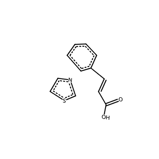 O=C(O)C=Cc1ccccc1.c1cscn1